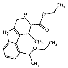 CCOC(=O)C1NCc2[nH]c3cccc(C(C)OCC)c3c2C1C